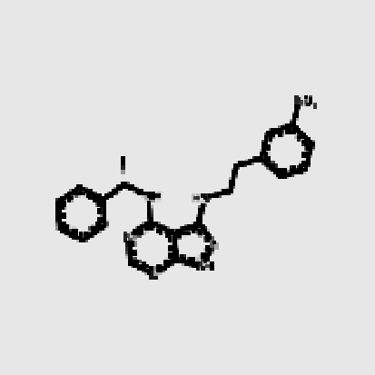 C[C@H](Nc1ncnc2[nH]nc(NCCc3cccc([N+](=O)[O-])c3)c12)c1ccccc1